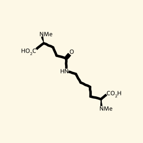 CN[C@@H](CCCCNC(=O)CC[C@H](NC)C(=O)O)C(=O)O